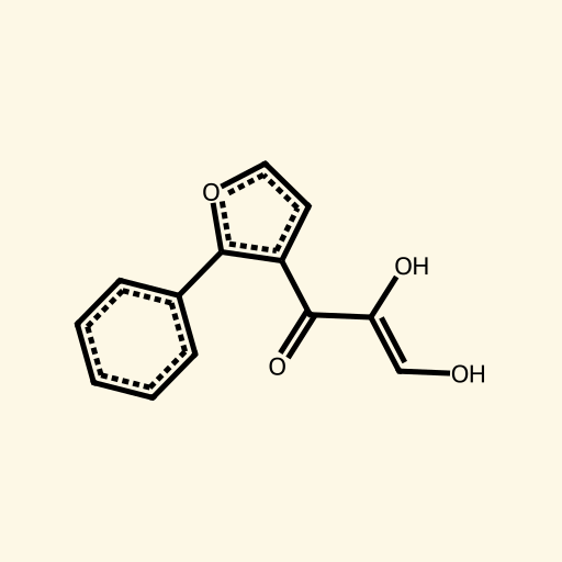 O=C(C(O)=CO)c1ccoc1-c1ccccc1